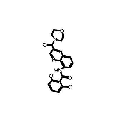 O=C(Nc1cccc2cc(C(=O)N3CCOCC3)cnc12)c1c(Cl)cccc1Cl